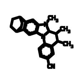 CC1c2cc(C#N)ccc2N2c3cc4c(cc3N(C)C2C1C)C1CCC4CC1